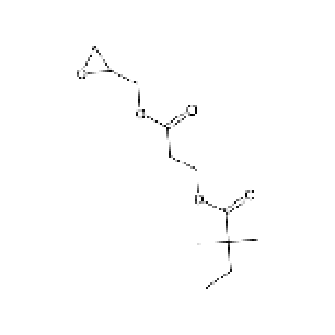 CCC(C)(C)C(=O)OCCC(=O)OCC1CO1